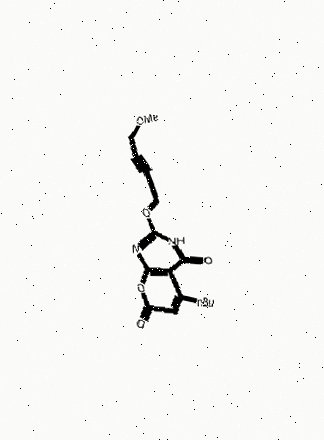 CCCCc1cc(=O)oc2nc(OCC#CCOC)[nH]c(=O)c12